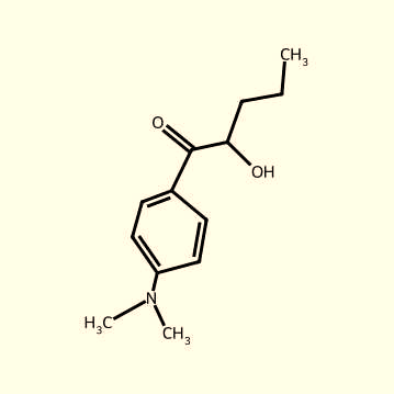 CCCC(O)C(=O)c1ccc(N(C)C)cc1